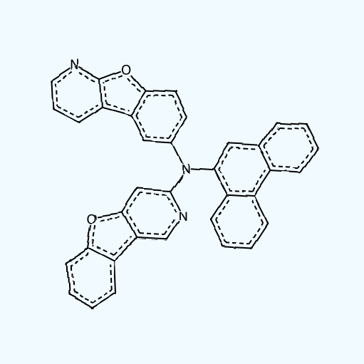 c1ccc2c(c1)cc(N(c1ccc3oc4ncccc4c3c1)c1cc3oc4ccccc4c3cn1)c1ccccc12